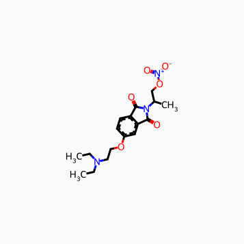 CCN(CC)CCOc1ccc2c(c1)C(=O)N(C(C)CO[N+](=O)[O-])C2=O